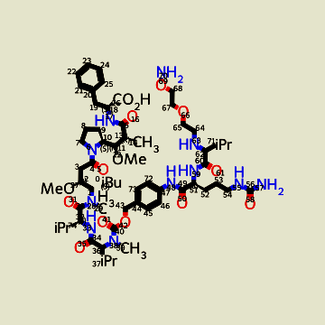 CC[C@H](C)C([C@@H](CC(=O)N1CCC[C@H]1[C@H](OC)[C@@H](C)C(=O)N[C@@H](Cc1ccccc1)C(=O)O)OC)N(C)C(=O)[C@@H](NC(=O)C(C(C)C)N(C)C(=O)OCc1ccc(NC(=O)[C@H](CCCNC(N)=O)NC(=O)C(NCCOCCON)C(C)C)cc1)C(C)C